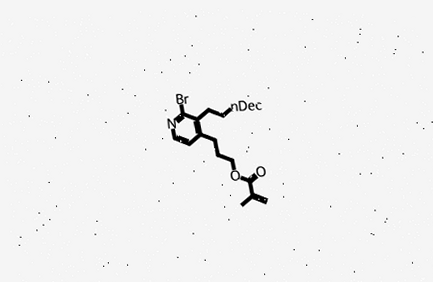 C=C(C)C(=O)OCCCc1ccnc(Br)c1CCCCCCCCCCCC